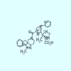 CN1N=C2CCN(C(=O)C(CC#Cc3ccccn3)NC(=O)C(C)(C)NC(=O)O)CC2(Cc2ccccc2)C1=O